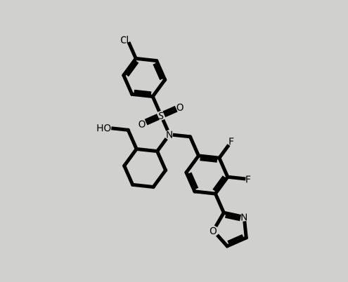 O=S(=O)(c1ccc(Cl)cc1)N(Cc1ccc(-c2ncco2)c(F)c1F)C1CCCCC1CO